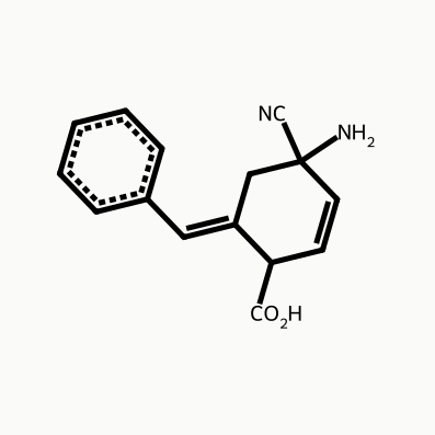 N#CC1(N)C=CC(C(=O)O)C(=Cc2ccccc2)C1